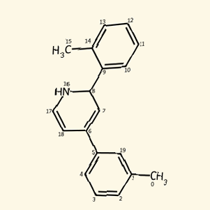 Cc1cccc(C2=CC(c3ccccc3C)NC=C2)c1